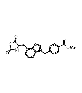 COC(=O)c1ccc(Cn2ccc3c(C=C4NC(=O)SC4=O)cccc32)cc1